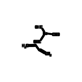 C=CC=C.O=[CH][Ru]([CH]=O)[CH]=O